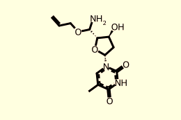 C=CCOC(N)[C@H]1O[C@@H](n2cc(C)c(=O)[nH]c2=O)C[C@@H]1O